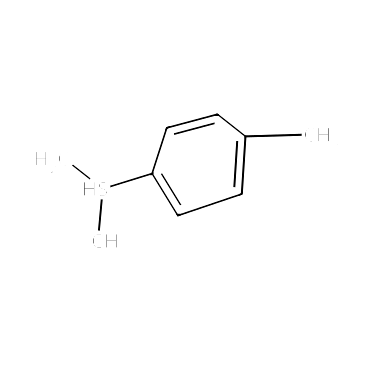 [CH2][SH](C)c1ccc(C)cc1